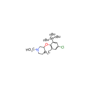 CCC[CH2][Sn]([CH2]CCC)([CH2]CCC)[c]1cc(Cl)cc(C)c1O[C@H]1CCCN(C(=O)O)C1